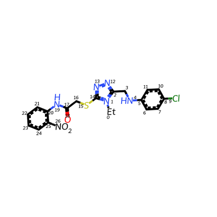 CCn1c(CNc2ccc(Cl)cc2)nnc1SCC(=O)Nc1ccccc1[N+](=O)[O-]